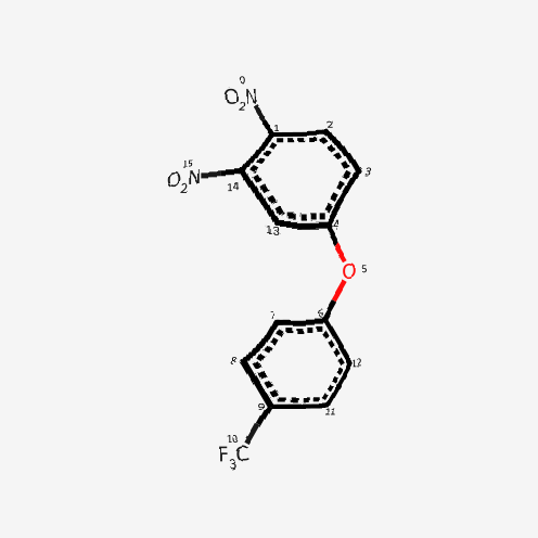 O=[N+]([O-])c1ccc(Oc2ccc(C(F)(F)F)cc2)cc1[N+](=O)[O-]